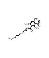 CCCCCCCCNC(=O)c1c(O)cc(O)c([N+](=O)[O-])c1O